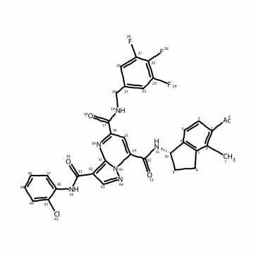 CC(=O)c1ccc2c(c1C)CC[C@@H]2NC(=O)c1cc(C(=O)NCc2cc(F)c(F)c(F)c2)nc2c(C(=O)Nc3ccccc3Cl)cnn12